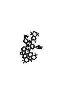 Cc1cc2c(cc1N1c3cc(C(C)C)ccc3B3c4ccc5oc6cc7c(cc6c5c4N(c4cc5c(cc4C)C(C)(C)CCC5(C)C)c4cc(C(C)(C)C)cc1c43)C(C)(C)CCC7(C)C)C(C)(C)CCC2(C)C